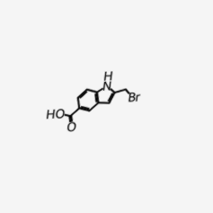 O=C(O)c1ccc2[nH]c(CBr)cc2c1